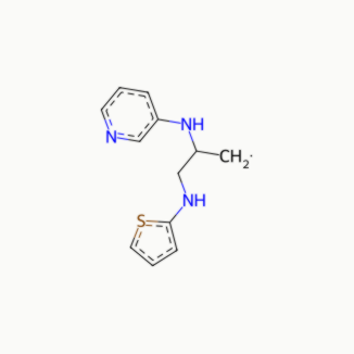 [CH2]C(CNc1cccs1)Nc1cccnc1